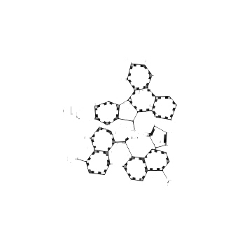 Clc1cccc2c([C](c3cccc4c(Cl)cccc34)=[Zr+2]([C]3=CC=CC3)[CH]3c4ccccc4-c4c3c3ccccc3c3ccccc43)cccc12.[Cl-].[Cl-]